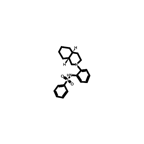 O=S(=O)(Nc1ccccc1N1CC[C@@H]2CCCC[C@H]2C1)c1ccccc1